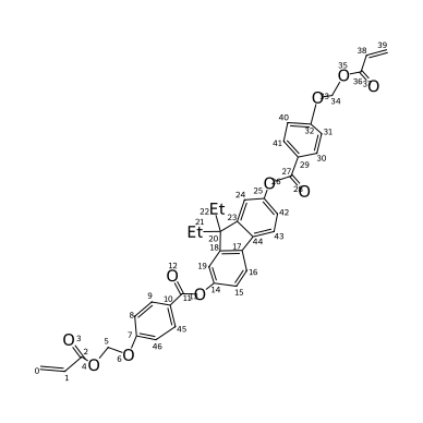 C=CC(=O)OCOc1ccc(C(=O)Oc2ccc3c(c2)C(CC)(CC)c2cc(OC(=O)c4ccc(OCOC(=O)C=C)cc4)ccc2-3)cc1